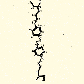 CCC(C)CCCOc1ccc(SSc2ccc(OCCCC(C)CC)cc2)cc1